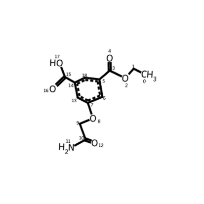 CCOC(=O)c1cc(OCC(N)=O)cc(C(=O)O)c1